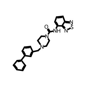 O=C(Nc1cccc2nsnc12)N1CCN(Cc2cccc(-c3ccccc3)c2)CC1